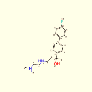 CN(C)CCNCCC(C)(O)c1ccc(-c2ccc(F)cc2)cc1